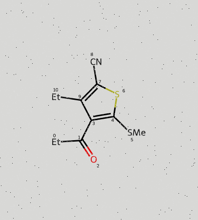 CCC(=O)c1c(SC)sc(C#N)c1CC